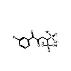 O=C(CC(P(=O)(O)O)P(=O)(O)O)C(=O)c1cccc(F)c1